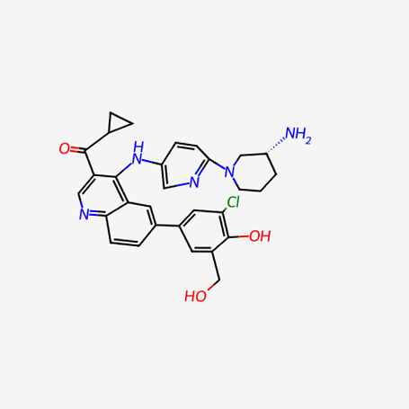 N[C@@H]1CCCN(c2ccc(Nc3c(C(=O)C4CC4)cnc4ccc(-c5cc(Cl)c(O)c(CO)c5)cc34)cn2)C1